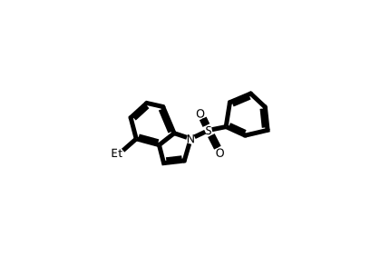 CCc1cccc2c1ccn2S(=O)(=O)c1ccccc1